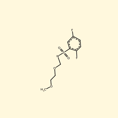 COCCOC[N]S(=O)(=O)c1cc(F)ccc1F